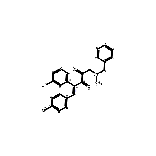 C=C(CN(C)Cc1ccccc1)C(=O)/C(=C/c1ccc(Cl)cc1)c1cccc(F)c1